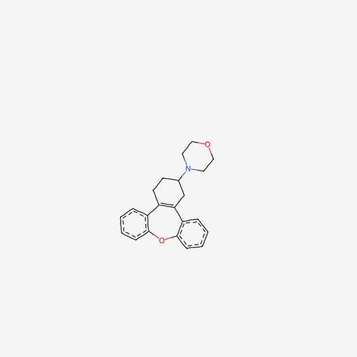 c1ccc2c(c1)Oc1ccccc1C1=C2CCC(N2CCOCC2)C1